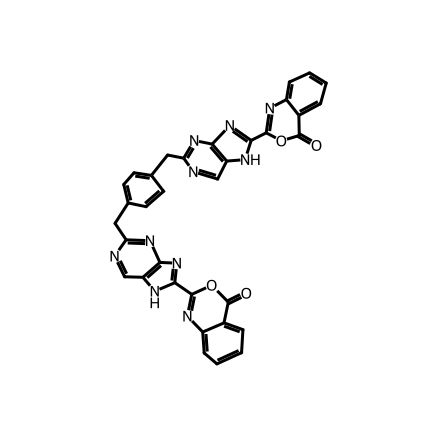 O=c1oc(-c2nc3nc(Cc4ccc(Cc5ncc6[nH]c(-c7nc8ccccc8c(=O)o7)nc6n5)cc4)ncc3[nH]2)nc2ccccc12